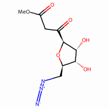 COC(=O)CC(=O)[C@@H]1O[C@H](CN=[N+]=[N-])[C@@H](O)[C@H]1O